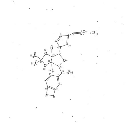 CON=Cc1ccn([C@@H]2O[C@H]([C@H](O)c3ccc4c(c3)CC4)[C@H]3OC(C)(C)O[C@H]32)c1